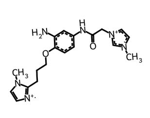 CN1C=C[N+]=C1CCCOc1ccc(NC(=O)C[n+]2ccn(C)c2)cc1N